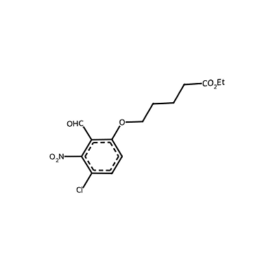 CCOC(=O)CCCCOc1ccc(Cl)c([N+](=O)[O-])c1C=O